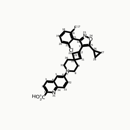 O=C(O)c1ccc2cc(N3CCC4(C=C(c5c(-c6c(F)cccc6Cl)noc5C5CC5)C4)CC3)ccc2n1